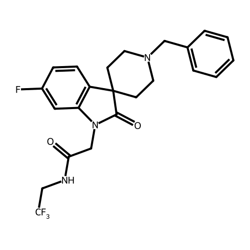 O=C(CN1C(=O)C2(CCN(Cc3ccccc3)CC2)c2ccc(F)cc21)NCC(F)(F)F